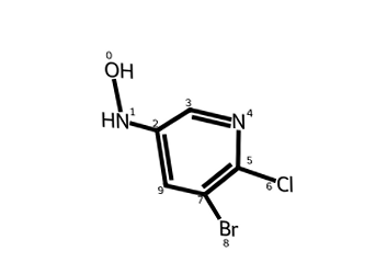 ONc1cnc(Cl)c(Br)c1